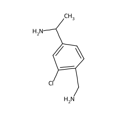 CC(N)c1ccc(CN)c(Cl)c1